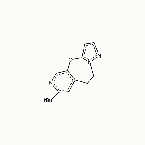 CC(C)(C)c1cc2c(cn1)Oc1ccnn1CC2